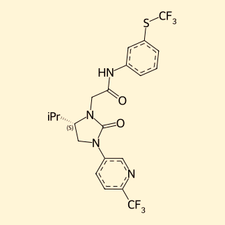 CC(C)[C@H]1CN(c2ccc(C(F)(F)F)nc2)C(=O)N1CC(=O)Nc1cccc(SC(F)(F)F)c1